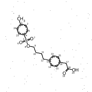 Cc1ccc(S(=O)(=O)OCCCCc2ccc(CC(=O)O)cc2)cc1